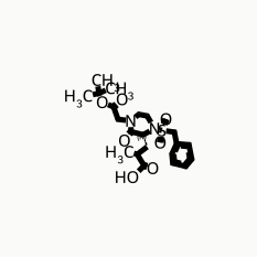 CC(C[C@@H]1C(=O)N(CC(=O)OC(C)(C)C)CCN1S(=O)(=O)Cc1ccccc1)C(=O)O